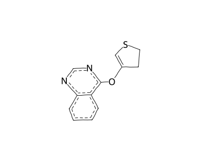 C1=C(Oc2ncnc3ccccc23)CCS1